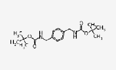 CC(C)(C)OC(=O)NCc1ccc(CNC(=O)OC(C)(C)C)cc1